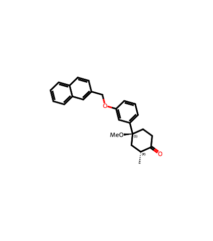 CO[C@@]1(c2cccc(OCc3ccc4ccccc4c3)c2)CCC(=O)[C@H](C)C1